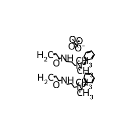 C=CC(=O)NCCC[N+](C)(C)Cc1ccccc1.C=CC(=O)NCCC[N+](C)(C)Cc1ccccc1.O=S(=O)([O-])[O-]